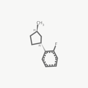 C[C@@H]1CC[C@@H](c2ccccc2F)C1